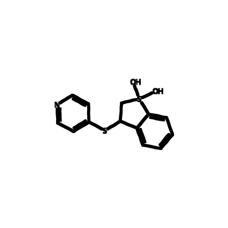 OS1(O)CC(Sc2ccncc2)c2ccccc21